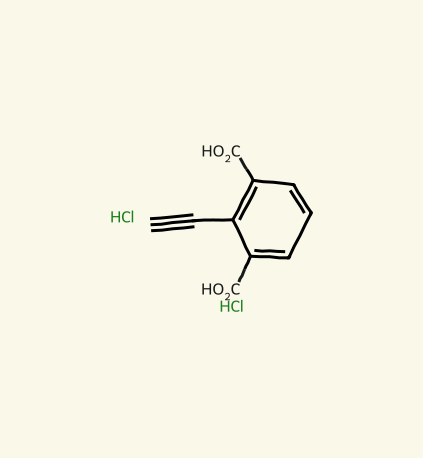 C#Cc1c(C(=O)O)cccc1C(=O)O.Cl.Cl